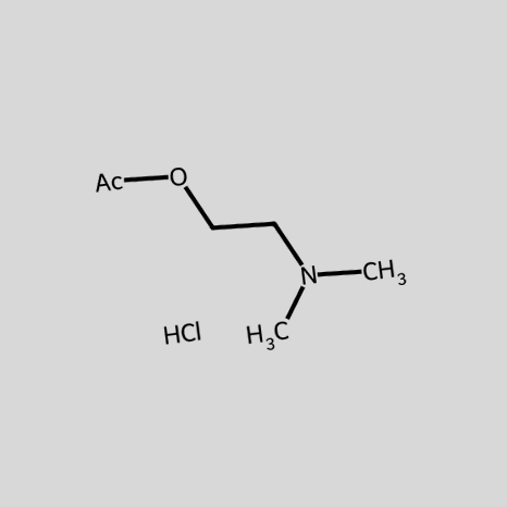 CC(=O)OCCN(C)C.Cl